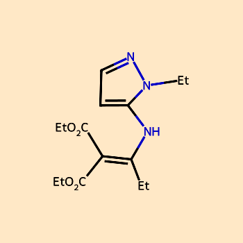 CCOC(=O)C(C(=O)OCC)=C(CC)Nc1ccnn1CC